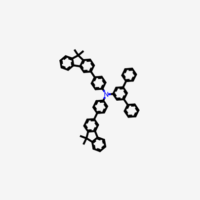 CC1(C)c2ccccc2-c2cc(-c3ccc(N(c4ccc(-c5ccc6c(c5)-c5ccccc5C6(C)C)cc4)c4cc(-c5ccccc5)cc(-c5ccccc5)c4)cc3)ccc21